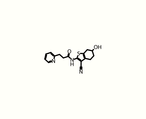 N#Cc1c(NC(=O)CCc2ccccn2)sc2c1CCC(O)C2